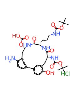 CC(C)(C)OC(=O)NCCC[C@@H]1NC(=O)[C@@H](NC(=O)OC(C)(C)C)Cc2cc(ccc2O)-c2ccc(N)c(c2)C[C@H](OC(=O)O)NC1=O.Cl